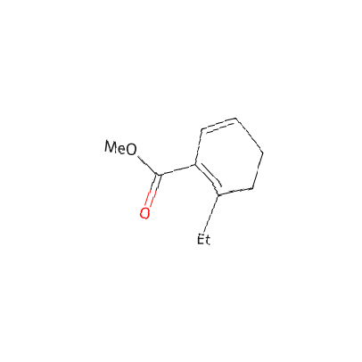 CCC1=C(C(=O)OC)C=CCC1